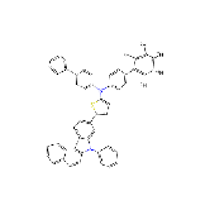 [2H]c1c([2H])c([2H])c(-c2ccc(N(c3ccc(-c4ccccc4)cc3)c3ccc(-c4ccc5c6c7ccccc7ccc6n(-c6ccccc6)c5c4)s3)cc2)c([2H])c1[2H]